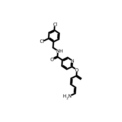 C=C(/C=C\C=C/N)Oc1ccc(C(=O)NCc2ccc(Cl)cc2Cl)cn1